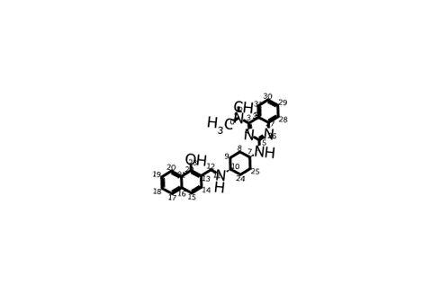 CN(C)c1nc(N[C@H]2CC[C@@H](NCc3ccc4ccccc4c3O)CC2)nc2ccccc12